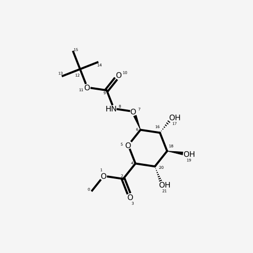 COC(=O)C1O[C@@H](ONC(=O)OC(C)(C)C)[C@H](O)[C@@H](O)[C@@H]1O